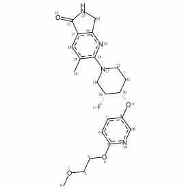 COCCOc1ccc(O[C@H]2CCN(c3nc4c(cc3C)C(=O)NC4)C[C@H]2F)cn1